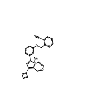 N#Cc1ccccc1COc1cccc(C2=NC(C3=CC=C3)=C3C=NC=C[N+]23N)c1